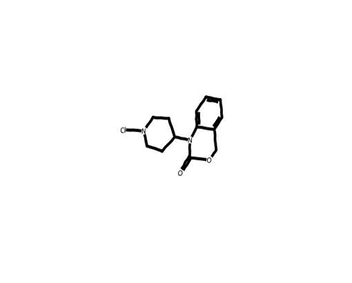 O=C1OCc2ccccc2N1C1CCN(Cl)CC1